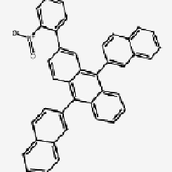 O=[N+]([O-])c1ccccc1-c1ccc2c(-c3ccc4ccccc4c3)c3ccccc3c(-c3ccc4ccccc4c3)c2c1